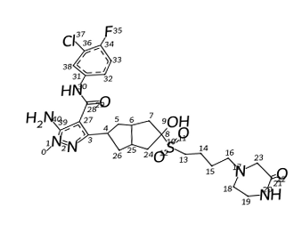 Cn1nc(C2CC3CC(O)(S(=O)(=O)CCCCN4CCNC(=O)C4)CC3C2)c(C(=O)Nc2ccc(F)c(Cl)c2)c1N